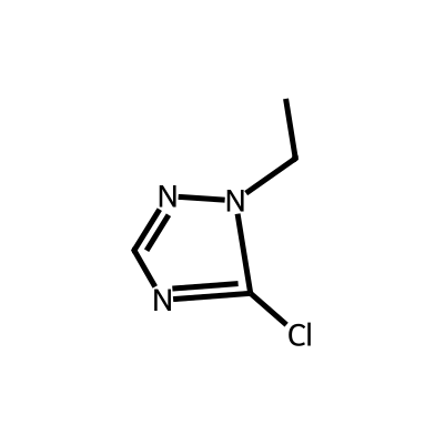 CCn1ncnc1Cl